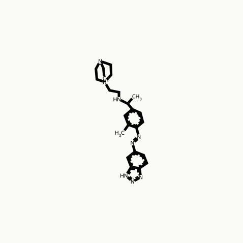 Cc1cc(C(C)NCC[N+]23CCN(CC2)CC3)ccc1N=Nc1ccc2nn[nH]c2c1